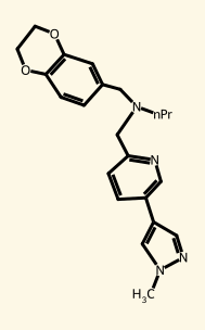 CCCN(Cc1ccc2c(c1)OCCO2)Cc1ccc(-c2cnn(C)c2)cn1